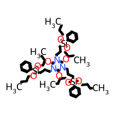 CCCCO[Si](CCCn1c(=O)n(CCC[Si](OCCCC)(OCCCC)c2ccccc2)c(=O)n(CCC[Si](OCCCC)(OCCCC)c2ccccc2)c1=O)(OCCCC)c1ccccc1